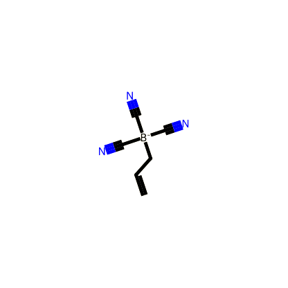 C=CC[B-](C#N)(C#N)C#N